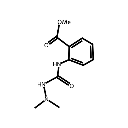 COC(=O)c1ccccc1NC(=O)NN(C)C